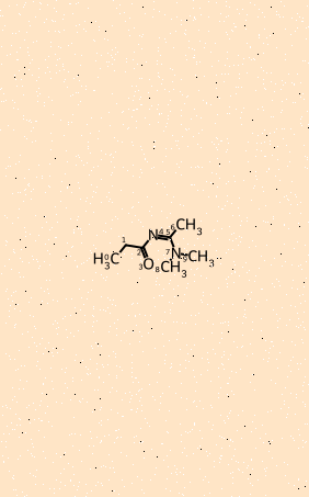 CCC(=O)/N=C(/C)N(C)C